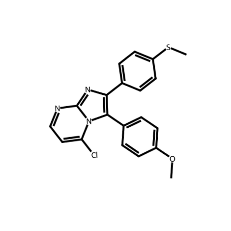 COc1ccc(-c2c(-c3ccc(SC)cc3)nc3nccc(Cl)n23)cc1